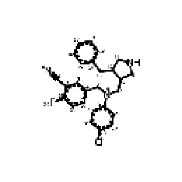 N#Cc1cc(CN(CC2CNCC2Cc2ccccc2)c2ccc(Cl)cc2)ccc1F